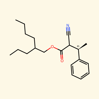 CCCCC(CCC)COC(=O)C(C#N)[C@@H](C)c1ccccc1